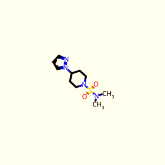 CN(C)S(=O)(=O)N1CCC(n2c[c]cn2)CC1